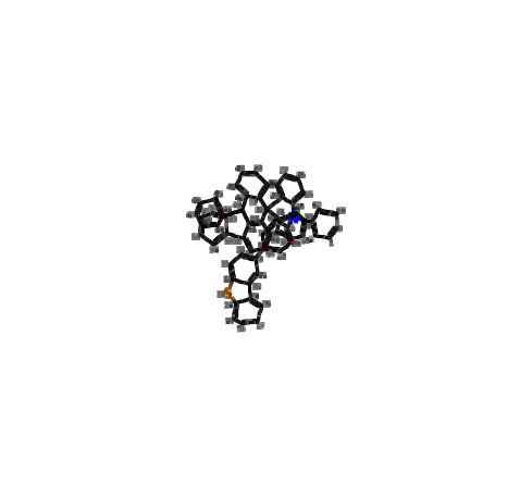 c1ccc(N(c2ccc(-c3ccc4sc5ccccc5c4c3)cc2)c2ccccc2C2(c3ccccc3)c3ccccc3C3(c4ccccc4)c4ccccc4-c4cccc2c43)cc1